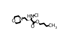 CCCCOC(=O)[C@H](CCN1CCOCC1)NCl